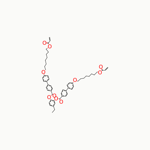 C=CC(=O)OCCCCCCCCOc1ccc(-c2ccc(C(=O)Oc3ccc(CC)cc3OC(=O)c3ccc(-c4ccc(OCCCCCCCCOC(=O)C=C)cc4)cc3)cc2)cc1